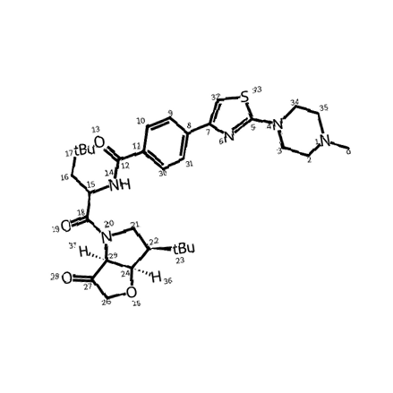 CN1CCN(c2nc(-c3ccc(C(=O)NC(CC(C)(C)C)C(=O)N4C[C@@H](C(C)(C)C)[C@H]5OCC(=O)[C@H]54)cc3)cs2)CC1